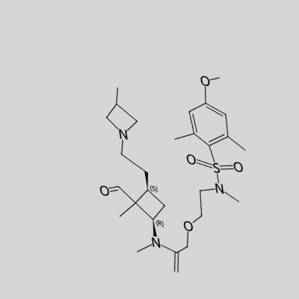 C=C(COCCN(C)S(=O)(=O)c1c(C)cc(OC)cc1C)N(C)[C@@H]1C[C@H](CCN2CC(C)C2)C1(C)C=O